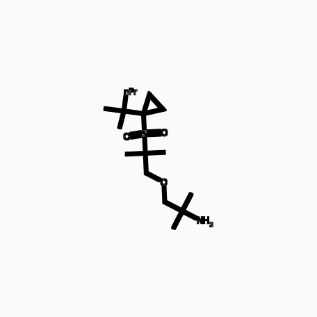 CCCC(C)(C)C1(S(=O)(=O)C(C)(C)COCC(C)(C)N)CC1